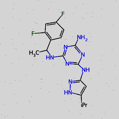 CC(C)c1cc(Nc2nc(N)nc(NC(C)c3ccc(F)cc3F)n2)n[nH]1